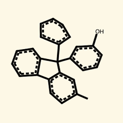 Cc1ccc2c(c1)C(c1ccccc1)(c1cccc(O)c1)c1ccccc1-2